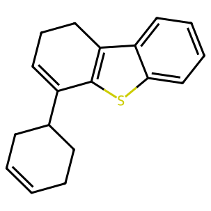 C1=CCC(C2=CCCc3c2sc2ccccc32)CC1